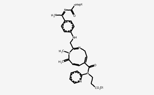 C=C1/C=C\C(C(=O)N(CCC(=O)OCC)c2ccccn2)=C/C/N=C(/CNc2ccc(/C(N)=N\C(=O)CCCCCCC)cc2)N1C